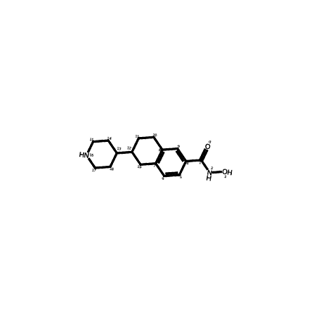 O=C(NO)c1ccc2c(c1)CCC(C1CCNCC1)C2